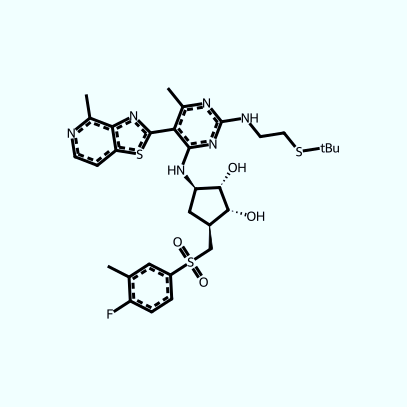 Cc1cc(S(=O)(=O)C[C@H]2C[C@@H](Nc3nc(NCCSC(C)(C)C)nc(C)c3-c3nc4c(C)nccc4s3)[C@H](O)[C@@H]2O)ccc1F